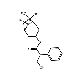 CC(C)[N+]1(C)C2CC(OC(=O)C(CO)c3ccccc3)CC1C(N=O)(C(F)(F)F)C2